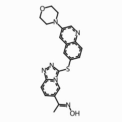 CC(=NO)c1ccc2nnc(Sc3ccc4ncc(N5CCOCC5)cc4c3)n2c1